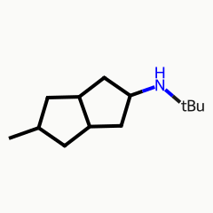 CC1CC2CC(NC(C)(C)C)CC2C1